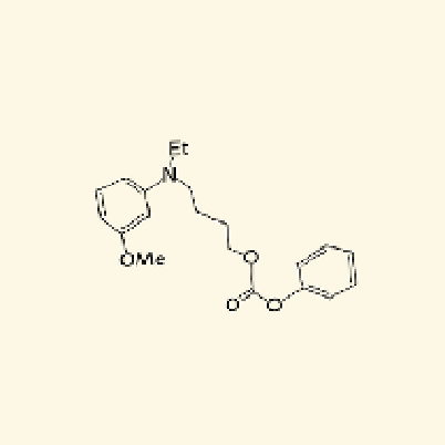 CCN(CCCCOC(=O)Oc1ccccc1)c1cccc(OC)c1